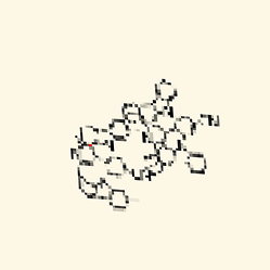 Cc1ccc2c(c1)c1ccccc1n2-c1cc(C#N)cc(-n2c3ccccc3c3cc(Cc4cc5c6ccccc6n(-c6cc(C#N)cc7c6c6cc(C)nc(c6)c6ccc8c9ccc(C)cc9n7c8c6)c5cc4C)ccc32)c1-c1cc(-c2ccccc2)nc(-c2ccccc2)c1